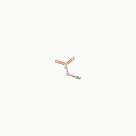 O=[SH](=S)[O][Au]